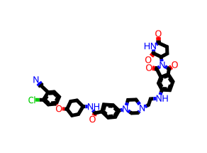 N#Cc1ccc(OC2CCC(NC(=O)c3ccc(N4CCN(CCNc5ccc6c(c5)C(=O)N(C5CCC(=O)NC5=O)C6=O)CC4)cc3)CC2)cc1Cl